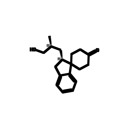 C[C@@H](CO)C[C@H]1Cc2ccccc2C12CCC(=O)CC2